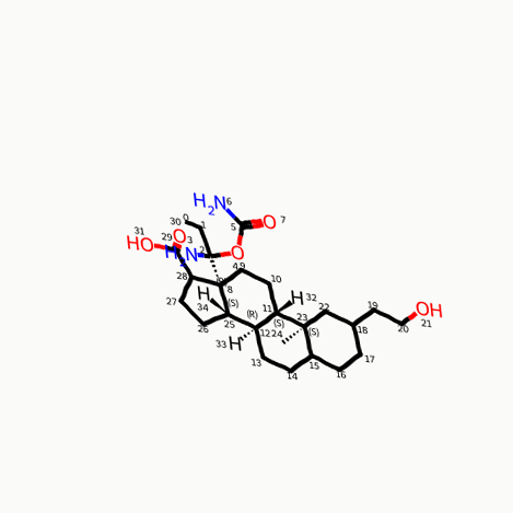 CCC(N)(OC(N)=O)[C@]12CC[C@H]3[C@@H](CCC4CCC(CCO)C[C@@]43C)[C@@H]1CCC2C(=O)O